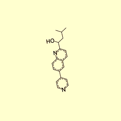 CC(C)CC(O)c1ccc2cc(-c3ccncc3)ccc2n1